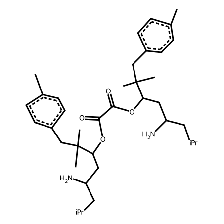 Cc1ccc(CC(C)(C)C(CC(N)CC(C)C)OC(=O)C(=O)OC(CC(N)CC(C)C)C(C)(C)Cc2ccc(C)cc2)cc1